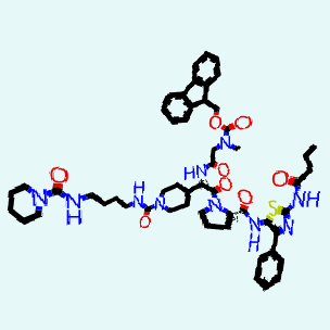 CCCC(=O)Nc1nc(-c2ccccc2)c(NC(=O)[C@@H]2CCCN2C(=O)[C@@H](NC(=O)CN(C)C(=O)OCC2c3ccccc3-c3ccccc32)C2CCN(C(=O)NCCCCNC(=O)N3CCCCC3)CC2)s1